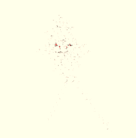 CCCCCCCCCCCCC/C=C/[C@@H](O)[C@H](CO[C@@H]1OC(CO)[C@@H](O[C@@H]2OC(CO)[C@H](O)[C@H](O[C@@H]3OC(CO)[C@@H](O[C@H]4OC(C)[C@@H](O)C(O)[C@@H]4O)[C@H](O[C@@H]4OC(CO)[C@H](O)[C@H](O[C@@H]5OC(CO)[C@@H](O[C@@H]6OC(CO)[C@H](O)[C@H](O)C6O[C@H]6OC(C)[C@@H](O)C(O)[C@@H]6O)[C@H](O)C5NC(C)=O)C4O)C3NC(C)=O)C2O)[C@H](O)C1O)NC(=O)CCCCCCCCCCCCCCCCC